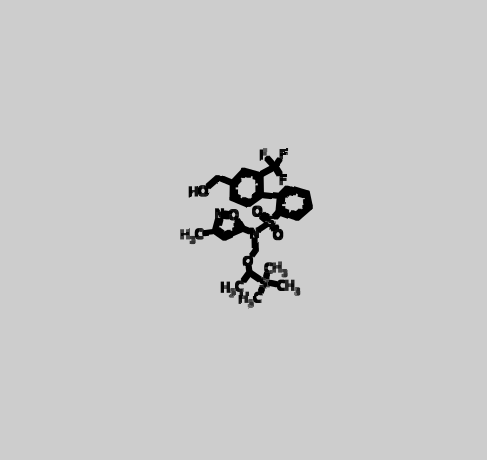 Cc1cc(N(COC(C)[Si](C)(C)C)S(=O)(=O)c2ccccc2-c2ccc(CO)cc2C(F)(F)F)on1